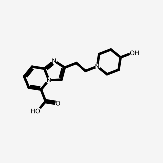 O=C(O)c1cccc2nc(CCN3CCC(O)CC3)cn12